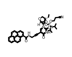 CC[C@@]12CO[C@H](C1OP(OCCC#N)N(C(C)C)C(C)C)[C@H](n1cc(C#CCNC(=O)c3ccc4ccc5cccc6ccc3c4c56)c(=O)[nH]c1=O)O2